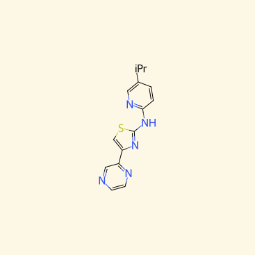 CC(C)c1ccc(Nc2nc(-c3cnccn3)cs2)nc1